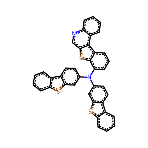 c1ccc2c(c1)ncc1sc3c(N(c4ccc5c(c4)sc4ccccc45)c4ccc5c(c4)sc4ccccc45)cccc3c12